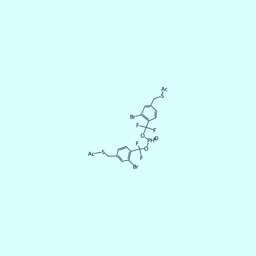 CC(=O)SCc1ccc(C(F)(F)O[PH](=O)OC(F)(F)c2ccc(CSC(C)=O)cc2Br)c(Br)c1